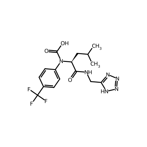 CC(C)C[C@@H](C(=O)NCc1nnn[nH]1)N(C(=O)O)c1ccc(C(F)(F)F)cc1